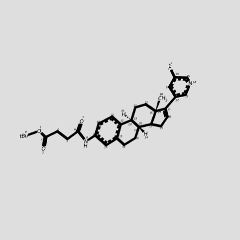 CC(C)(C)OC(=O)CCC(=O)Nc1ccc2c(c1)CC[C@H]1C3CC=C(c4cncc(F)c4)[C@@]3(C)CC[C@H]21